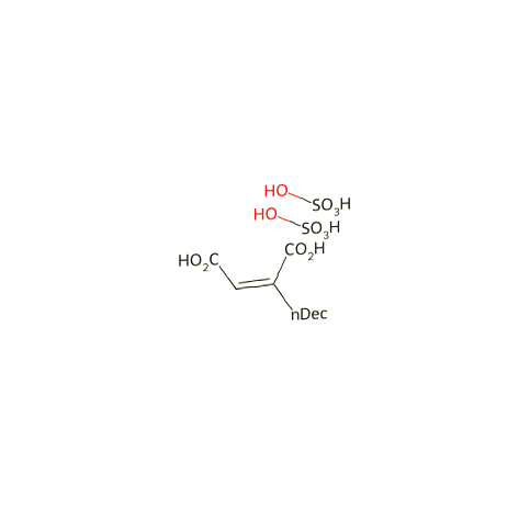 CCCCCCCCCCC(=CC(=O)O)C(=O)O.O=S(=O)(O)O.O=S(=O)(O)O